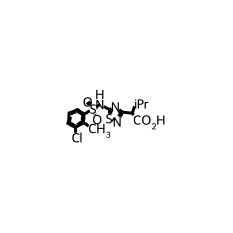 Cc1c(Cl)cccc1S(=O)(=O)Nc1nc(C(C(=O)O)C(C)C)ns1